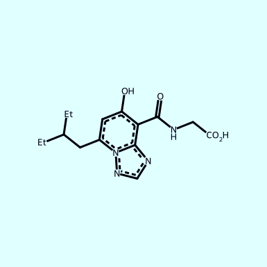 CCC(CC)Cc1cc(O)c(C(=O)NCC(=O)O)c2ncnn12